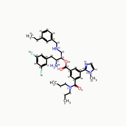 CCCN(CCC)C(=O)c1cc(C(=O)O[C@H](CNCc2cccc(CC)c2)[C@@H](N)Cc2cc(F)cc(F)c2)cc(-c2nccn2C)c1